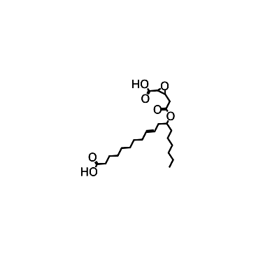 CCCCCCC(CC=CCCCCCCCC(=O)O)OC(=O)CC1OC1C(=O)O